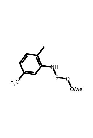 COOSNc1cc(C(F)(F)F)ccc1C